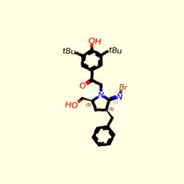 CC(C)(C)c1cc(C(=O)CN2/C(=N\Br)[C@@H](Cc3ccccc3)C[C@H]2CO)cc(C(C)(C)C)c1O